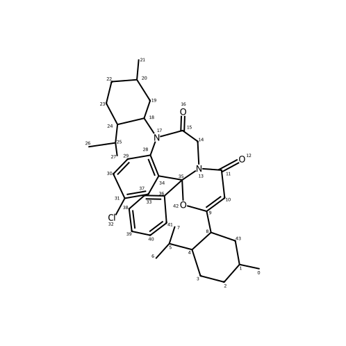 CC1CCC(C(C)C)C(C2=CC(=O)N3CC(=O)N(C4CC(C)CCC4C(C)C)c4ccc(Cl)cc4C3(c3ccccc3)O2)C1